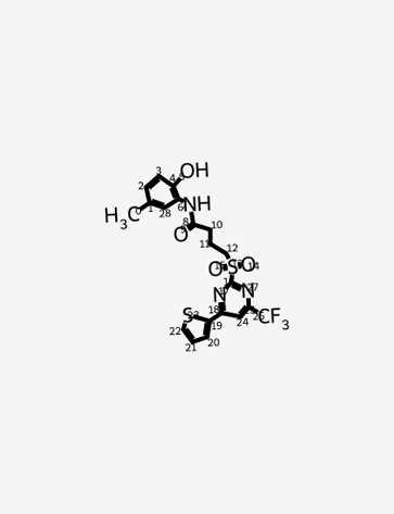 Cc1ccc(O)c(NC(=O)CCCS(=O)(=O)c2nc(-c3cccs3)cc(C(F)(F)F)n2)c1